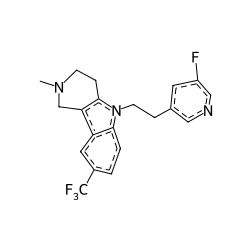 CN1CCc2c(c3cc(C(F)(F)F)ccc3n2CCc2cncc(F)c2)C1